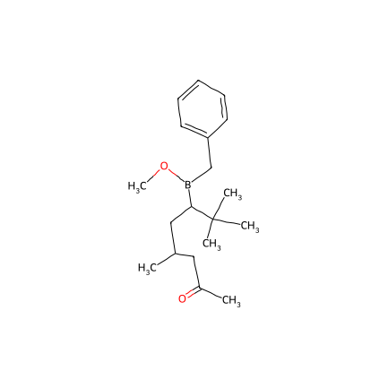 COB(Cc1ccccc1)C(CC(C)CC(C)=O)C(C)(C)C